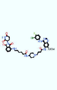 COc1cc2ncnc(Nc3ccc(F)c(Cl)c3)c2cc1NC(=O)C=CCN1CCC(NC(=O)CCCCCNc2cccc3c2C(=O)N(C2CCC(=O)NC2=O)C3=O)CC1